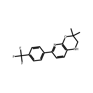 CC1(C)CNc2ccc(-c3ccc(C(F)(F)F)cc3)nc2O1